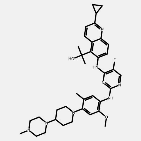 COc1cc(N2CCC(N3CCN(C)CC3)CC2)c(C)cc1Nc1ncc(F)c(Nc2ccc3nc(C4CC4)ccc3c2C(C)(C)O)n1